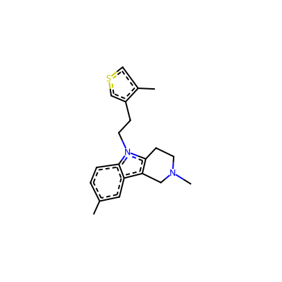 Cc1ccc2c(c1)c1c(n2CCc2cscc2C)CCN(C)C1